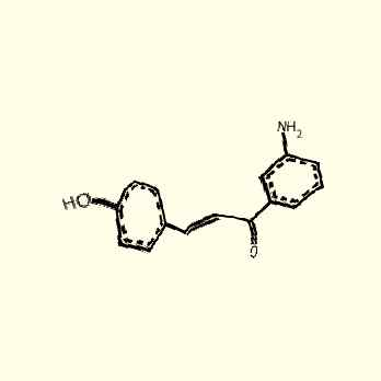 Nc1cccc(C(=O)C=Cc2ccc(O)cc2)c1